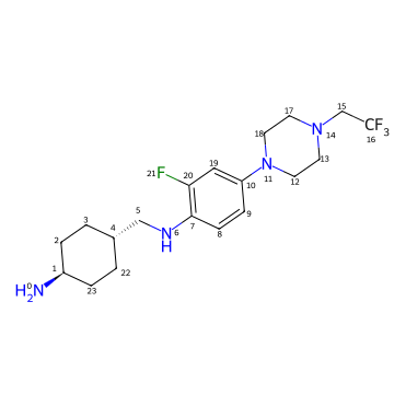 N[C@H]1CC[C@H](CNc2ccc(N3CCN(CC(F)(F)F)CC3)cc2F)CC1